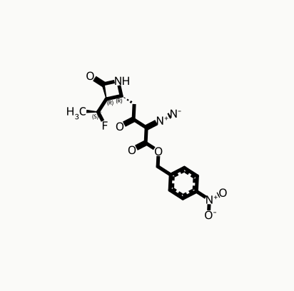 C[C@H](F)[C@H]1C(=O)N[C@@H]1CC(=O)C(=[N+]=[N-])C(=O)OCc1ccc([N+](=O)[O-])cc1